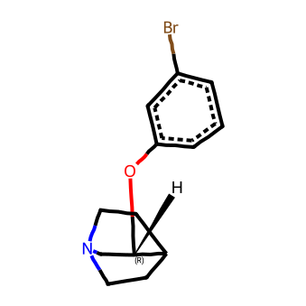 Brc1cccc(O[C@H]2CN3CCC2CC3)c1